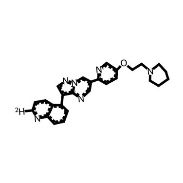 [2H]c1ccc2c(-c3cnn4cc(-c5ccc(OCCN6CCCCC6)cn5)cnc34)cccc2n1